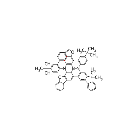 CC(C)(C)c1ccc(N2B3c4cc5occc5cc4N(c4ccc(C(C)(C)C)cc4-c4ccccc4)c4c3c(cc3c4oc4ccccc43)-c3cc4c(cc32)C(C)(C)c2ccccc2-4)cc1